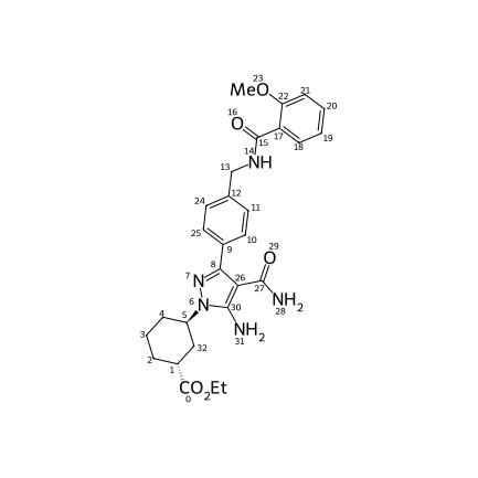 CCOC(=O)[C@@H]1CCC[C@@H](n2nc(-c3ccc(CNC(=O)c4ccccc4OC)cc3)c(C(N)=O)c2N)C1